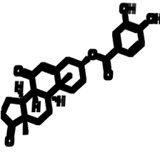 C[C@]12CC[C@H](OC(=O)c3ccc(O)c(O)c3)CC1=CC(=O)[C@@H]1[C@@H]2CC[C@]2(C)C(=O)CC[C@@H]12